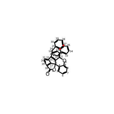 O=C1OC2(c3ccccc3Oc3ccccc32)c2c1cccc2N(Cc1ccccc1)Cc1ccccc1